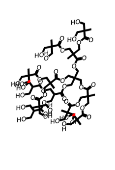 CC(CO)(CO)C(=O)OCC(C)(COC(=O)C(C)(CO)CO)C(=O)OCC(COC(=O)C(COC(=O)C(CO)CO)COC(O)C(CO)CO)(COC(=O)C(C)(COC(=O)C(C)(CO)CO)COC(=O)C(C)(CO)CO)COC(=O)C(C)(COC(=O)C(C)(CO)CO)COC(=O)C(C)(CO)CO